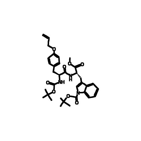 C=CCOc1ccc(C[C@H](NC(=O)OC(C)(C)C)C(=O)N[C@@H](Cc2cn(C(=O)OC(C)(C)C)c3ccccc23)C(=O)OC)cc1